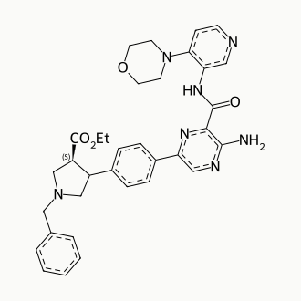 CCOC(=O)[C@@H]1CN(Cc2ccccc2)CC1c1ccc(-c2cnc(N)c(C(=O)Nc3cnccc3N3CCOCC3)n2)cc1